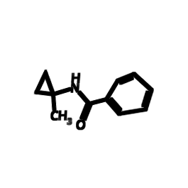 CC1(NC(=O)c2ccccc2)CC1